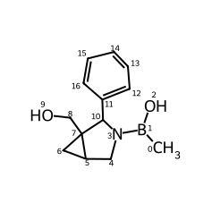 CB(O)N1CC2CC2(CO)C1c1ccccc1